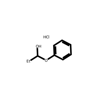 CCC(O)Oc1ccccc1.Cl